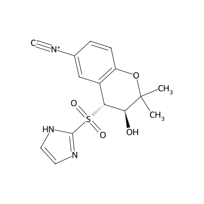 [C-]#[N+]c1ccc2c(c1)[C@@H](S(=O)(=O)c1ncc[nH]1)[C@H](O)C(C)(C)O2